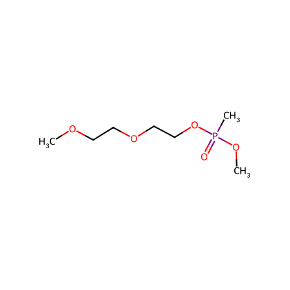 COCCOCCOP(C)(=O)OC